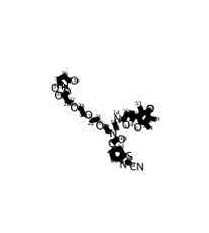 CC1=C(C)C(=O)C(C(C)(C)CC(=O)N(C)CCN(CCOCCOCCOCCC(=O)ON2C(=O)CCC2=O)C(=O)Oc2ccc3nc(C#N)sc3c2)=C(C)C1=O